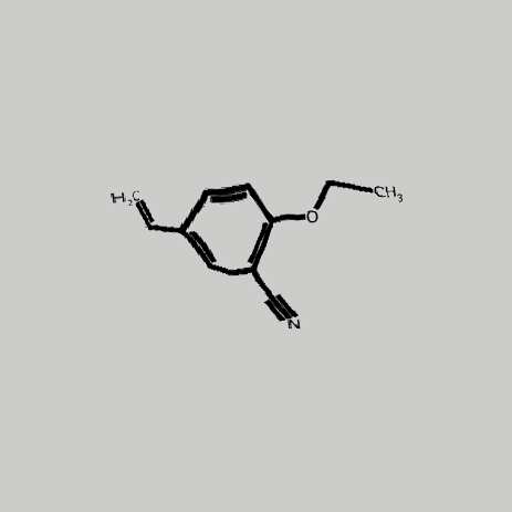 C=[C]c1ccc(OCC)c(C#N)c1